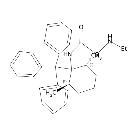 CCNSC(=O)NC1(C(c2ccccc2)(c2ccccc2)c2ccccc2)[C@H](C)CCC[C@H]1C